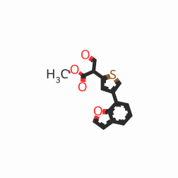 COC(=O)C(C=O)c1cc(-c2cccc3ccoc23)cs1